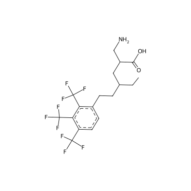 CCC(CCc1ccc(C(F)(F)F)c(C(F)(F)F)c1C(F)(F)F)CC(CN)C(=O)O